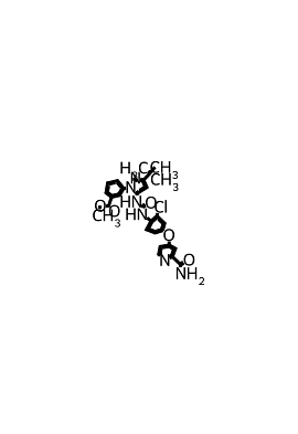 COC(=O)c1cccc(-n2nc(C(C)(C)C)cc2NC(=O)Nc2ccc(Oc3ccnc(C(N)=O)c3)cc2Cl)c1